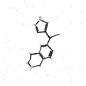 CC(c1cn[nH]c1)c1ccc2c(c1)CCOC2